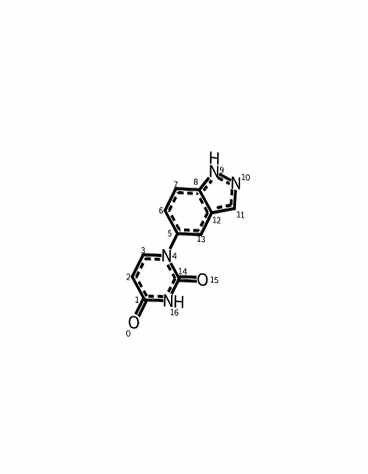 O=c1ccn(-c2ccc3[nH]ncc3c2)c(=O)[nH]1